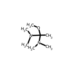 COC(C)(N(C)C)N(C)C